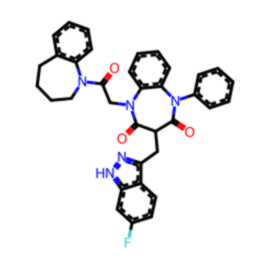 O=C(CN1C(=O)C(Cc2n[nH]c3cc(F)ccc23)C(=O)N(c2ccccc2)c2ccccc21)N1CCCCc2ccccc21